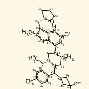 CC[C@@H]1CN(c2nc(=O)[nH]c3c2nc(C)n3C[C@@H]2CCCO2)[C@@H](C)CN1C(c1ccc(Cl)cc1)C1CC(F)(F)C1